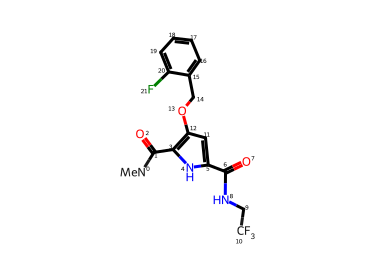 CNC(=O)c1[nH]c(C(=O)NCC(F)(F)F)cc1OCc1ccccc1F